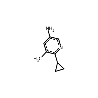 Cc1cc(N)cnc1C1CC1